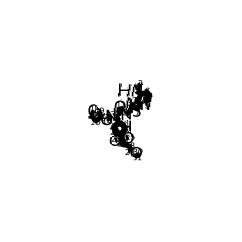 CNc1ccnc2sc(NC(=O)/C(=N/O[C@@H]3CCOC3)c3ccc(S(=O)(=O)CCCOC)cc3)nc12